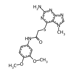 COc1ccc(NC(=O)CSc2nc(N)nc3ncn(C)c23)cc1OC